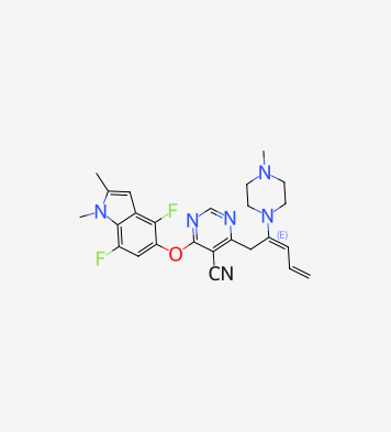 C=C/C=C(\Cc1ncnc(Oc2cc(F)c3c(cc(C)n3C)c2F)c1C#N)N1CCN(C)CC1